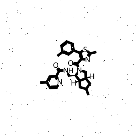 Cc1cccc(-c2sc(C)nc2C(=O)N2C[C@@H]3CC(C)C[C@@H]3[C@H]2CNC(=O)c2cc(C)ccn2)c1